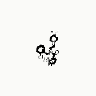 O=C(c1ccn[nH]1)N(CCN1CCC(F)(F)CC1)Cc1ccccc1Cl